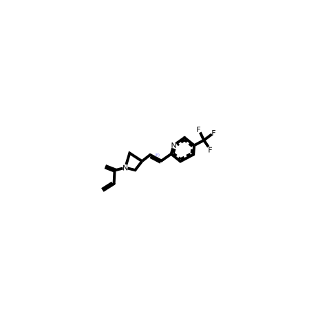 C=CC(=C)N1CC(/C=C/c2ccc(C(F)(F)F)cn2)C1